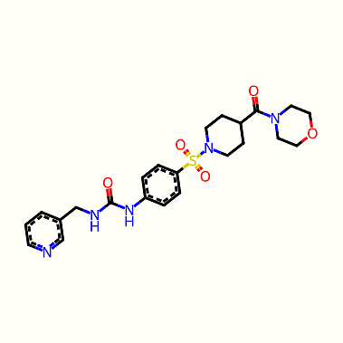 O=C(NCc1cccnc1)Nc1ccc(S(=O)(=O)N2CCC(C(=O)N3CCOCC3)CC2)cc1